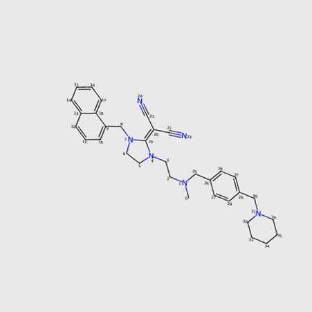 CN(CCN1CCN(Cc2cccc3ccccc23)C1=C(C#N)C#N)Cc1ccc(CN2CCCCC2)cc1